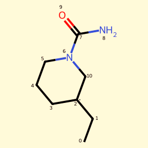 CC[C]1CCCN(C(N)=O)C1